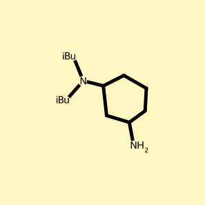 CCC(C)N(C(C)CC)C1CCCC(N)C1